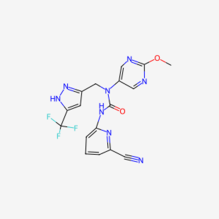 COc1ncc(N(Cc2cc(C(F)(F)F)[nH]n2)C(=O)Nc2cccc(C#N)n2)cn1